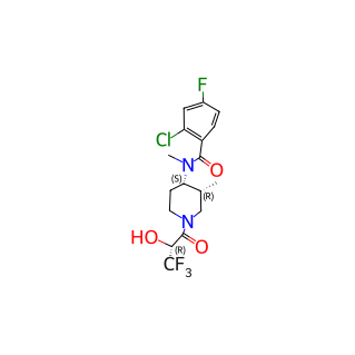 C[C@@H]1CN(C(=O)[C@@H](O)C(F)(F)F)CC[C@@H]1N(C)C(=O)c1ccc(F)cc1Cl